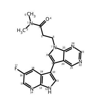 CN(C)C(=O)CCn1cc(-c2c[nH]c3ncc(F)cc23)c2cncnc21